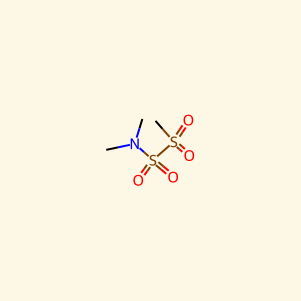 CN(C)S(=O)(=O)S(C)(=O)=O